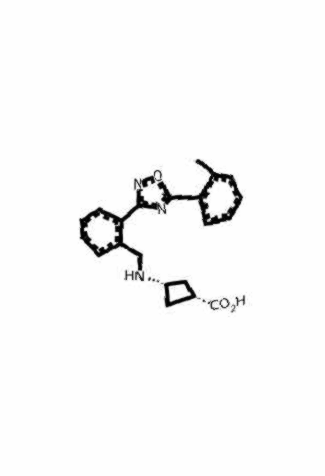 Cc1ccccc1-c1nc(-c2ccccc2CN[C@H]2C[C@@H](C(=O)O)C2)no1